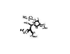 CCCO[C@@H]1C[C@@H](C(=O)O)N(C(=O)C(C)CSC(C)=O)C1